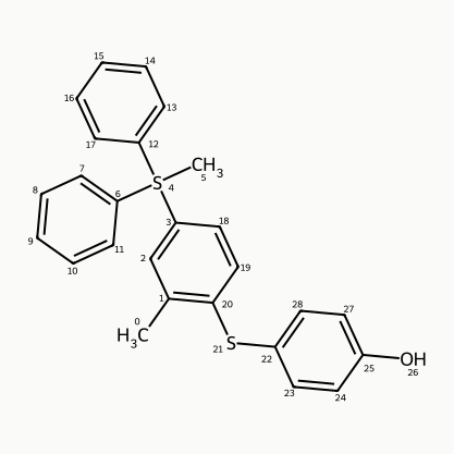 Cc1cc(S(C)(c2ccccc2)c2ccccc2)ccc1Sc1ccc(O)cc1